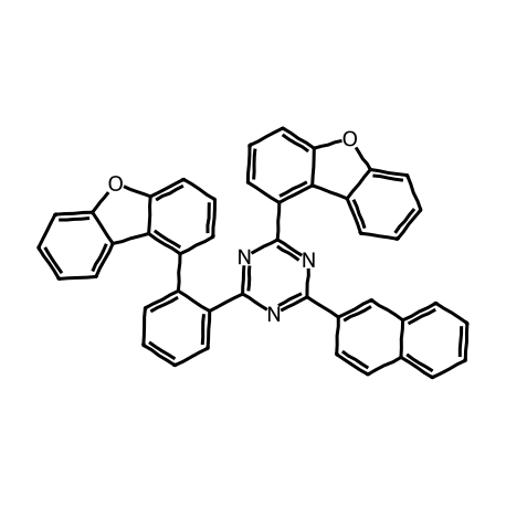 c1ccc(-c2cccc3oc4ccccc4c23)c(-c2nc(-c3ccc4ccccc4c3)nc(-c3cccc4oc5ccccc5c34)n2)c1